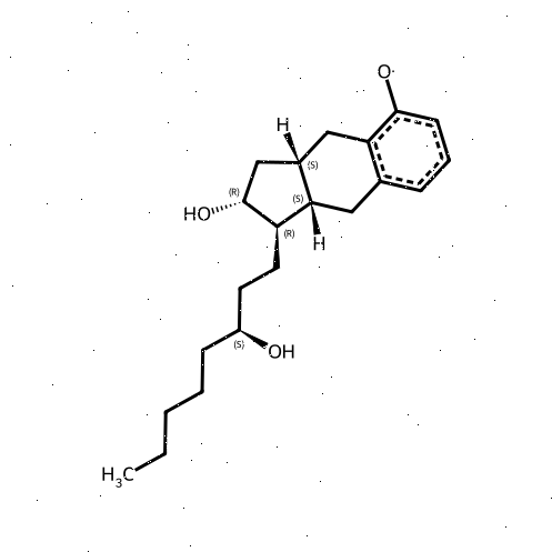 CCCCC[C@H](O)CC[C@@H]1[C@H]2Cc3cccc([O])c3C[C@H]2C[C@H]1O